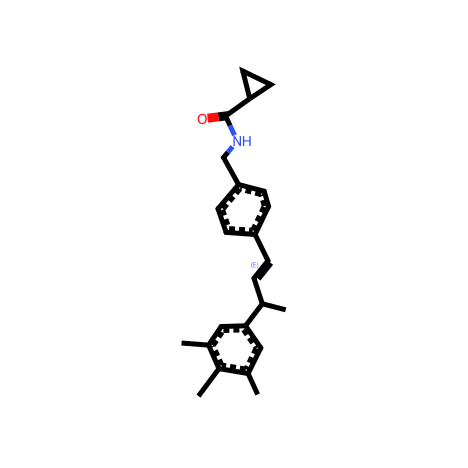 Cc1cc(C(C)/C=C/c2ccc(CNC(=O)C3CC3)cc2)cc(C)c1C